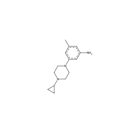 Cc1cc(N)cc(N2CCN(C3CC3)CC2)c1